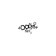 CNC(=O)c1nc2c(s1)[C@@H](N)C1(CCN(C)CC1)C2